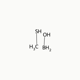 BO.CS